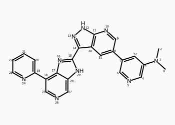 CN(C)c1cncc(-c2cnc3[nH]nc(-c4nc5c(-c6ccccn6)cncc5[nH]4)c3c2)c1